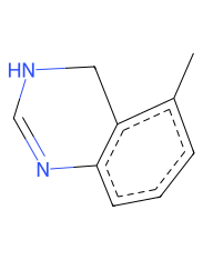 Cc1cccc2c1CNC=N2